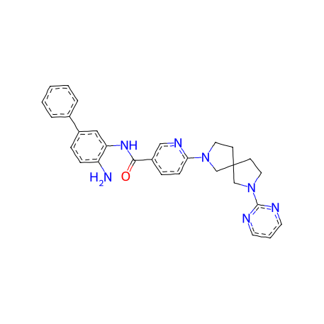 Nc1ccc(-c2ccccc2)cc1NC(=O)c1ccc(N2CCC3(CCN(c4ncccn4)C3)C2)nc1